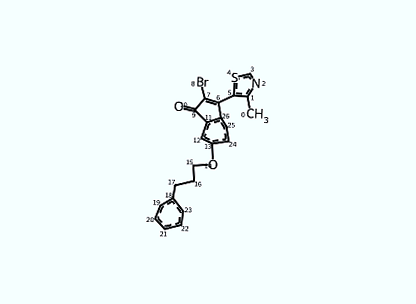 Cc1ncsc1C1=C(Br)C(=O)c2cc(OCCCc3ccccc3)ccc21